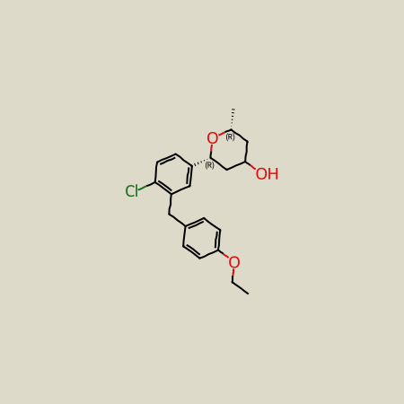 CCOc1ccc(Cc2cc([C@H]3CC(O)C[C@@H](C)O3)ccc2Cl)cc1